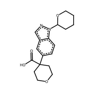 O=C(O)C1(c2ccc3c(cnn3C3CCCCO3)c2)CCOCC1